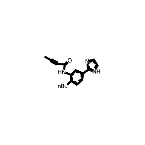 CC#CC(=O)Nc1cc(-c2ncc[nH]2)ccc1CCCC